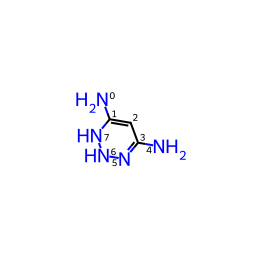 NC1=CC(N)=NNN1